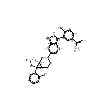 NC[C@]1(c2ccccc2F)[C@@H]2CCN(c3cnc4c(-c5cc(C(N)=O)ccc5Cl)n[nH]c4n3)C[C@@H]21